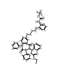 CCOC(=O)CC(c1ccccc1)N1C(=O)c2cc(CCCCOc3cccnc3NC(=O)OC(C)(C)C)ccc2N(c2ccccc2)C(=O)C1c1ccccc1